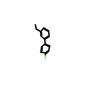 CCc1cccc(-c2c[c]c(F)cc2)c1